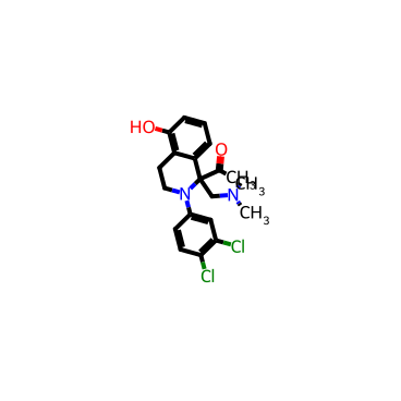 CC(=O)C1(CN(C)C)c2cccc(O)c2CCN1c1ccc(Cl)c(Cl)c1